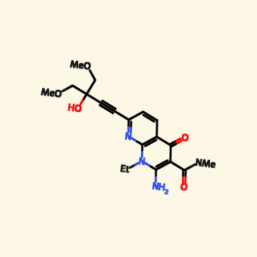 CCn1c(N)c(C(=O)NC)c(=O)c2ccc(C#CC(O)(COC)COC)nc21